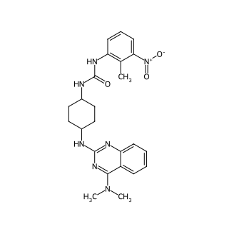 Cc1c(NC(=O)NC2CCC(Nc3nc(N(C)C)c4ccccc4n3)CC2)cccc1[N+](=O)[O-]